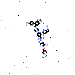 CC1(C)CCC(CN2CCN(c3ccc(C(=O)NS(=O)(=O)c4cnc(OCC5CCN(CC#N)CC5)c(Cl)c4)c(Oc4cnc5[nH]ccc5c4)c3)CC2)=C(c2ccc(Cl)cc2)C1